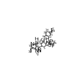 Cn1nc(-c2ccc(NS(=O)(=O)C(F)F)c(OCCc3ccc(F)cc3)c2)c2c(N)ncc(I)c21